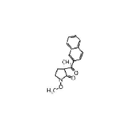 CON1CC[C@@](C)(C(=O)c2ccc3ccccc3c2)C1=O